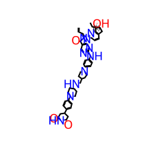 C=CCn1c(=O)c2cnc(Nc3ccc(N4CCC(CNC5CCN(c6ccc(C7CC(=O)NC(=O)C7)cc6)CC5)CC4)cc3)nc2n1-c1ccc2c(n1)[C@@](O)(CC)CC2